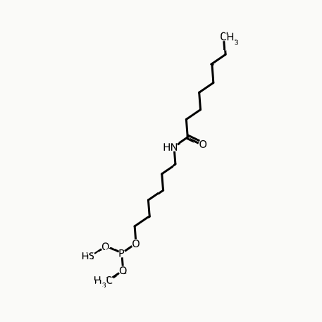 CCCCCCCC(=O)NCCCCCCOP(OC)OS